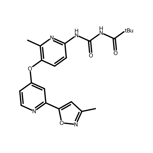 Cc1cc(-c2cc(Oc3ccc(NC(=O)NC(=O)C(C)(C)C)nc3C)ccn2)on1